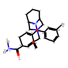 C=CCN1CC2CCCC(C1)N2C(C1=CCC(C(=O)N(CC)CC)C=C1)c1cccc(CC)c1